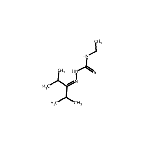 CCNC(=S)NN=C(C(C)C)C(C)C